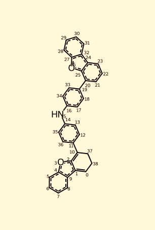 C1=c2c(oc3ccccc23)=C(c2ccc(Nc3ccc(-c4cccc5c4oc4ccccc45)cc3)cc2)CC1